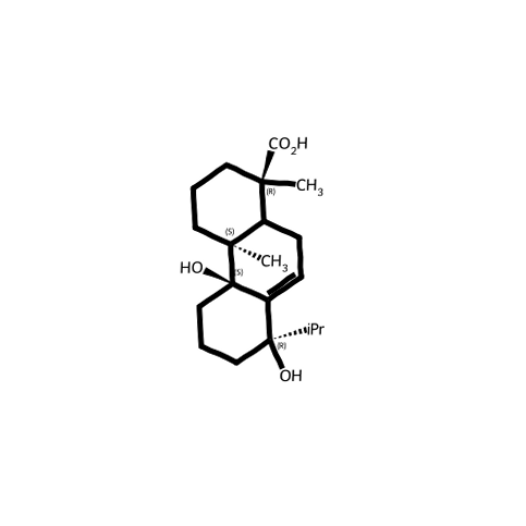 CC(C)[C@]1(O)CCC[C@@]2(O)C1=CCC1[C@](C)(C(=O)O)CCC[C@@]12C